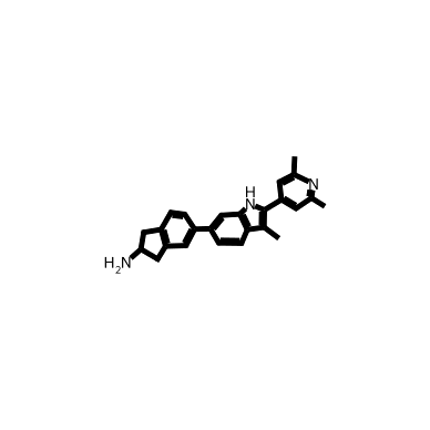 Cc1cc(-c2[nH]c3cc(-c4ccc5c(c4)CC(N)C5)ccc3c2C)cc(C)n1